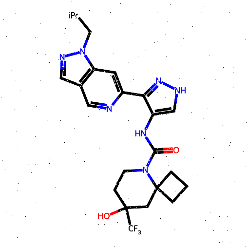 CC(C)Cn1ncc2cnc(-c3n[nH]cc3NC(=O)N3CCC(O)(C(F)(F)F)CC34CCC4)cc21